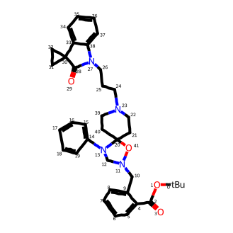 CC(C)(C)OC(=O)c1ccccc1CN1CN(c2ccccc2)C2(CCN(CCCN3C(=O)C4(CC4)c4ccccc43)CC2)O1